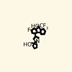 OCC1(n2cc(-c3cc(F)cc4c3-c3ccccc3C4(O)C(F)(F)F)cn2)CCCC1